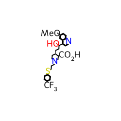 COc1ccc2nccc([C@H](O)CC[C@@H]3CCN(CCCSc4ccc(C(F)(F)F)cc4)C[C@@H]3C(=O)O)c2c1